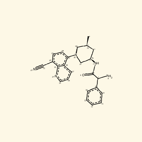 C[C@H]1C[C@@H](NC(=O)C(N)c2ccccc2)CN(c2ccc(C#N)c3ncccc23)C1